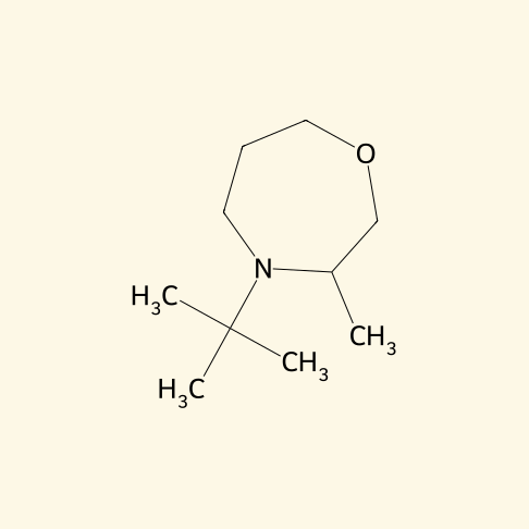 CC1COCCCN1C(C)(C)C